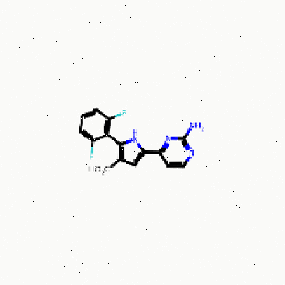 Nc1nccc(-c2cc(C(=O)O)c(-c3c(F)cccc3F)[nH]2)n1